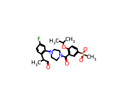 CC(C)Oc1ccc(S(C)(=O)=O)cc1C(=O)N1CCN(c2cc(F)ccc2C(C)C=O)CC1